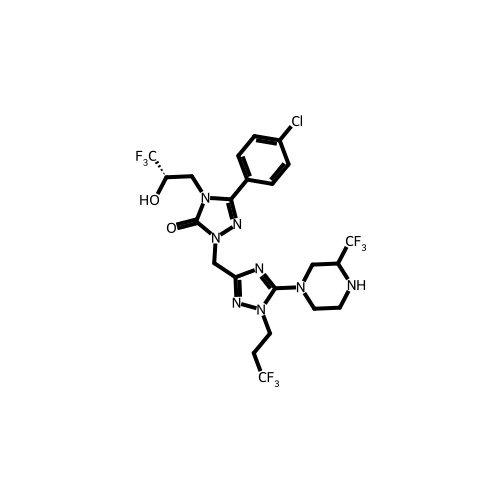 O=c1n(Cc2nc(N3CCNC(C(F)(F)F)C3)n(CCC(F)(F)F)n2)nc(-c2ccc(Cl)cc2)n1C[C@H](O)C(F)(F)F